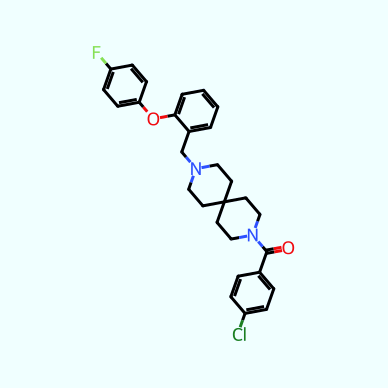 O=C(c1ccc(Cl)cc1)N1CCC2(CCN(Cc3ccccc3Oc3ccc(F)cc3)CC2)CC1